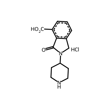 Cl.O=C(O)c1cccc2c1C(=O)N(C1CCNCC1)C2